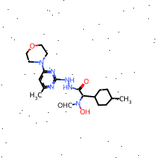 Cc1cc(N2CCOCC2)nc(NNC(=O)C(C2CCC(C)CC2)N(O)C=O)n1